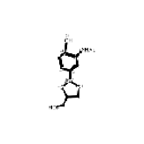 CC(=O)Nc1cc([As]2SCC(CO)S2)ccc1O